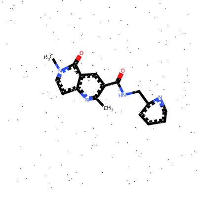 Cc1nc2ccn(C)c(=O)c2cc1C(=O)NCc1ccccn1